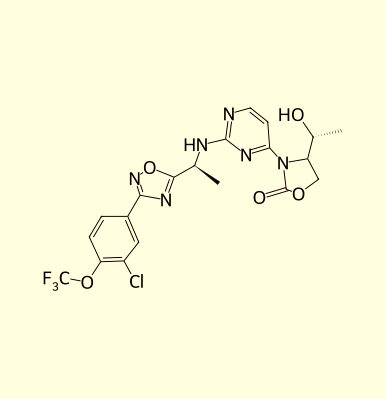 C[C@H](Nc1nccc(N2C(=O)OCC2[C@@H](C)O)n1)c1nc(-c2ccc(OC(F)(F)F)c(Cl)c2)no1